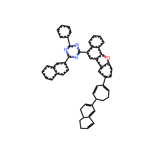 C1=CC2=CC(C3C=CC(c4ccc5oc6c7ccccc7c(-c7nc(-c8ccccc8)nc(-c8ccc9ccccc9c8)n7)cc6c5c4)=CCC3)=CCC2CC1